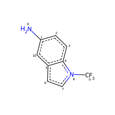 Nc1ccc2c(ccn2C(F)(F)F)c1